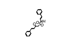 O=C(C=Cc1ccccc1)CS(=O)(=O)NC=Cc1ccccc1